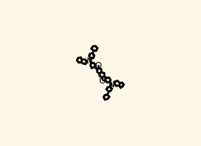 c1ccc(-c2ccc(N(c3ccc4ccccc4c3)c3ccc4c(c3)oc3cc5cc6c(cc5cc34)oc3cc(N(c4ccc(-c5ccccc5)cc4)c4ccc5ccccc5c4)ccc36)cc2)cc1